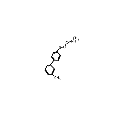 CNOOSc1ccc(-c2cccc(C)c2)cc1